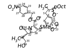 CCCCCCCC[S+]([O-])C(C)Cc1ccc2c(c1)OCO2.CSC1=C(C(=O)OCc2ccc([N+](=O)[O-])cc2)N2C(=O)/C(=C(\C)CO)C2C1